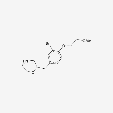 COCCOc1ccc(CC2CNCCO2)cc1Br